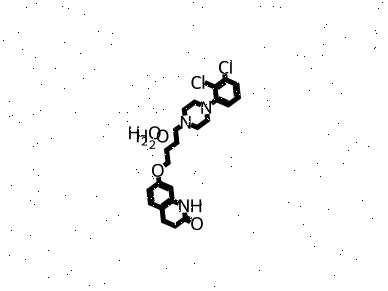 O.O.O=C1CCc2ccc(OCCCCN3CCN(c4cccc(Cl)c4Cl)CC3)cc2N1